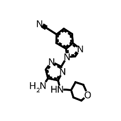 N#Cc1ccc2ncn(-c3ncc(N)c(NC4CCOCC4)n3)c2c1